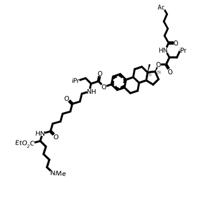 CCOC(=O)C(CCCCNC)NC(=O)CCCCC(=O)CCNC(CC(C)C)C(=O)Oc1ccc2c(c1)CCC1C2CC[C@@]2(C)C1CC[C@@H]2OC(=O)C(CC(C)C)NC(=O)CCCCC(C)=O